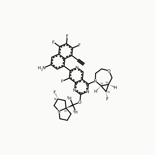 [2H]C([2H])(Oc1nc(N2CCOC[C@H]3[C@H](F)[C@H]32)c2cnc(-c3cc(N)cc4c(F)c(F)c(F)c(C#C)c34)c(F)c2n1)[C@@]12CCCN1C[C@H](F)C2